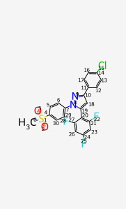 CS(=O)(=O)c1ccc(-n2nc(-c3ccc(Cl)cc3)cc2-c2c(F)cc(F)cc2F)cc1